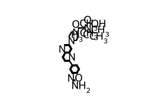 CC(C)(C)N(C(=O)O)C(C)(C)C(=O)N1CCN(c2cnc3ccc(-c4ccc5oc(N)nc5c4)nc3c2)CC1